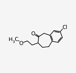 COCCC1CCc2ccc(Cl)cc2CC1=O